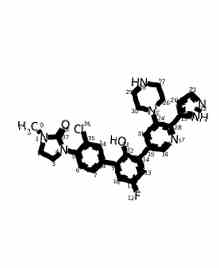 CN1CCN(c2ccc(-c3cc(F)cc(-c4cnc(-c5ccn[nH]5)c(N5CCNCC5)c4)c3O)cc2Cl)C1=O